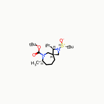 CC(C)[C@H]1N([S@+]([O-])C(C)(C)C)C[C@]12CCC[C@H](C)N(C(=O)OC(C)(C)C)C2